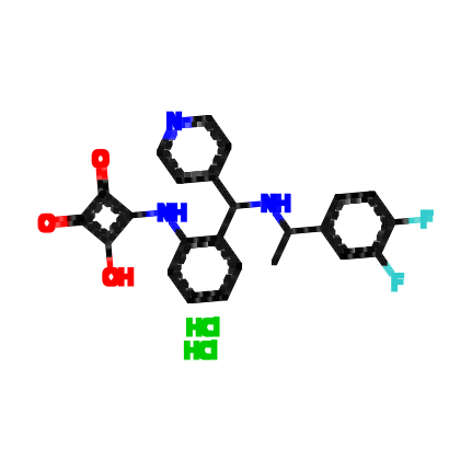 CC(NC(c1ccncc1)c1ccccc1Nc1c(O)c(=O)c1=O)c1ccc(F)c(F)c1.Cl.Cl